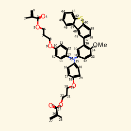 C=C(C)C(=O)OCCCOc1ccc(N(c2ccc(OCCCOC(=O)C(=C)C)cc2)c2ccc(OC)c(-c3ccc4sc5ccccc5c4c3)c2)cc1